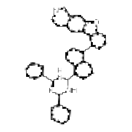 c1ccc(C2=NC(c3ccccc3)NC(c3cccc4c(-c5cccc6oc7cc8cnccc8cc7c56)cccc34)N2)cc1